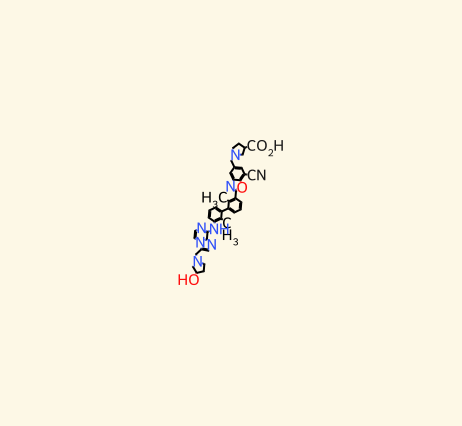 Cc1c(Nc2nccn3c(CN4CCC(O)C4)cnc23)cccc1-c1cccc(-c2nc3cc(CN4CCC(C(=O)O)C4)cc(C#N)c3o2)c1C